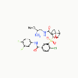 CO[C@H](N)CNC(=O)CC1(O)C2CC1CC(S(=O)(=O)c1cc(C(=O)Nc3ccc(F)c(F)c3)ccc1Cl)C2